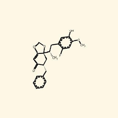 COc1cc(F)c(C[C@H](C)[C@]23C[C@H](Cc4ccccc4)C(=O)C=C2OCO3)cc1O